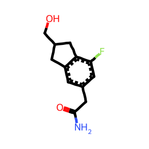 NC(=O)Cc1cc(F)c2c(c1)CC(CO)C2